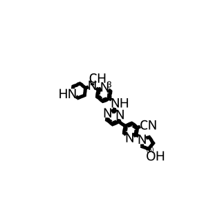 CN(c1ccc(Nc2nccc(-c3cnc(N4CC[C@H](O)C4)c(C#N)c3)n2)cn1)C1CCNCC1